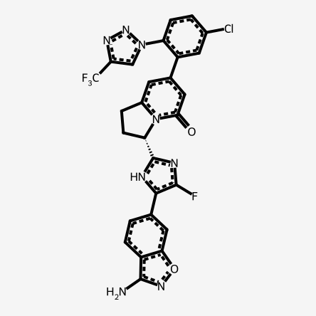 Nc1noc2cc(-c3[nH]c([C@@H]4CCc5cc(-c6cc(Cl)ccc6-n6cc(C(F)(F)F)nn6)cc(=O)n54)nc3F)ccc12